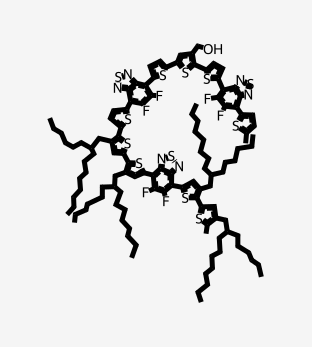 CCCCCCCCC(CCCCCC)Cc1cc(-c2sc(-c3c(F)c(F)c(-c4cc(CC(CCCCCC)CCCCCCCC)c(-c5cc(CC(CCCCCC)CCCCCCCC)c(-c6ccc(-c7c(F)c(F)c(-c8ccc(-c9cc(CO)c(-c%10ccc(-c%11c(F)c(F)c(-c%12ccc(C)s%12)c%12nsnc%11%12)s%10)s9)s8)c8nsnc78)s6)s5)s4)c4nsnc34)cc2CC(CCCCCC)CCCCCCCC)sc1C